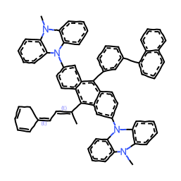 C/C(=C\C=C1\C=CC=CC1)c1c2cc(N3c4ccccc4N(C)c4ccccc43)ccc2c(-c2cccc(-c3cccc4ccccc34)c2)c2cc(N3c4ccccc4N(C)c4ccccc43)ccc12